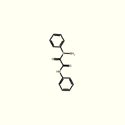 NN(C(=O)C(=O)Nc1ccccc1)c1ccccc1